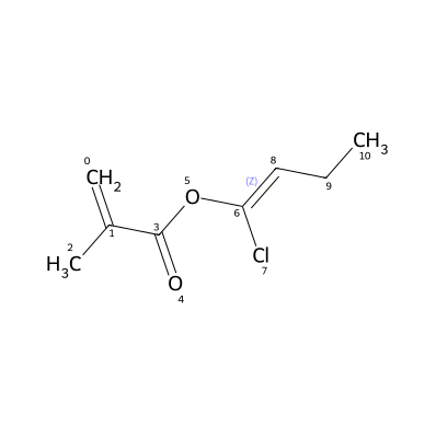 C=C(C)C(=O)O/C(Cl)=C/CC